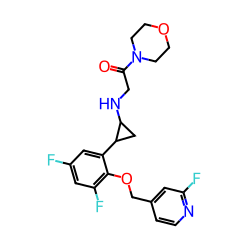 O=C(CNC1CC1c1cc(F)cc(F)c1OCc1ccnc(F)c1)N1CCOCC1